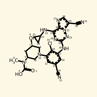 CN(C(=O)O)[C@H]1C[C@@H](O)CN(c2cc(C#N)cc(Nc3nc(NC4CC4)c4ncc(C#N)n4n3)c2Cl)C1